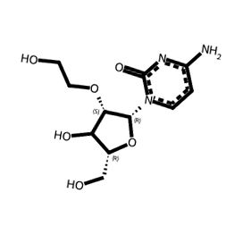 Nc1ccn([C@@H]2O[C@H](CO)C(O)[C@@H]2OCCO)c(=O)n1